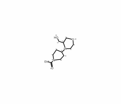 CCC(=O)N1CCC(N2CCOCC2CO)CC1